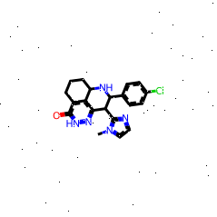 Cn1ccnc1C1c2n[nH]c(=O)c3c2C(CCC3)NC1c1ccc(Cl)cc1